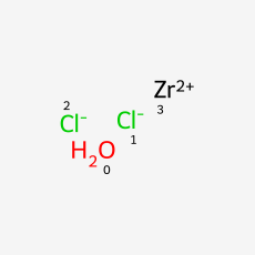 O.[Cl-].[Cl-].[Zr+2]